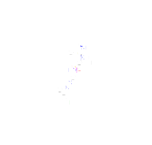 Cc1cc(S(=O)(=O)NC(=O)c2ccc(N3CCN(Cc4ccccc4-c4ccc(Cl)cc4)CC3)cc2)ccc1N[C@H](CCNC(C)(C)C)CSc1ccccc1